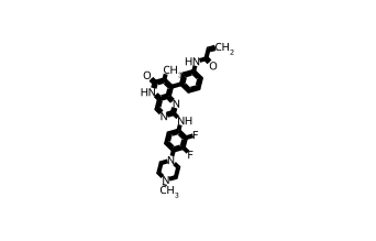 C=CC(=O)Nc1cccc(-c2c(C)c(=O)[nH]c3cnc(Nc4ccc(N5CCN(C)CC5)c(F)c4F)nc23)c1